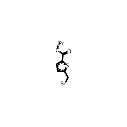 CC(C)OC(=O)c1ccc(CBr)s1